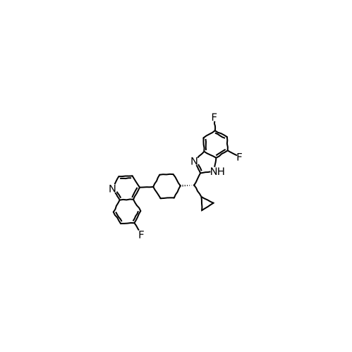 Fc1cc(F)c2[nH]c([C@@H](C3CCC(c4ccnc5ccc(F)cc45)CC3)C3CC3)nc2c1